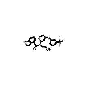 O=C(c1cccc2c1CCN2)N(CCO)c1cc(Sc2cccc(C(F)(F)F)c2)ccn1